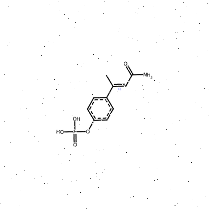 C/C(=C\C(N)=O)c1ccc(OP(=O)(O)O)cc1